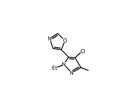 CCn1nc(C)c(Cl)c1-c1cnco1